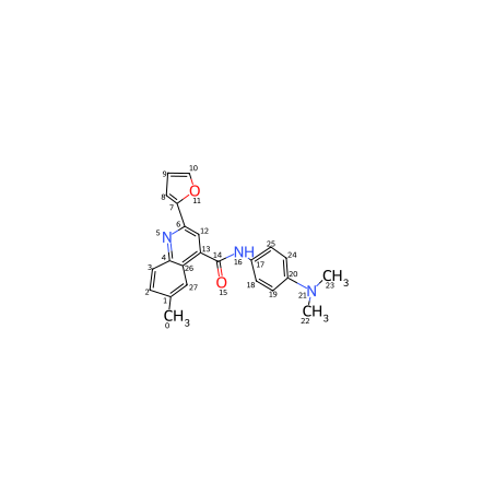 Cc1ccc2nc(-c3ccco3)cc(C(=O)Nc3ccc(N(C)C)cc3)c2c1